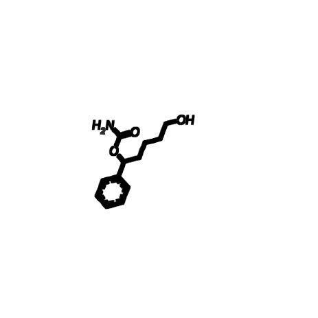 NC(=O)OC(CCCCO)c1ccccc1